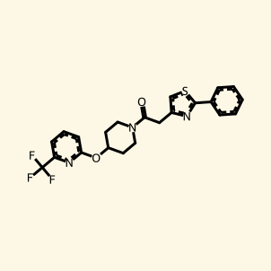 O=C(Cc1csc(-c2ccccc2)n1)N1CCC(Oc2cccc(C(F)(F)F)n2)CC1